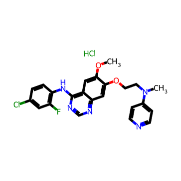 COc1cc2c(Nc3ccc(Cl)cc3F)ncnc2cc1OCCN(C)c1ccncc1.Cl